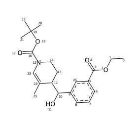 CCOC(=O)c1cccc(C(O)C2CCN(C(=O)OC(C)(C)C)C=C2C)c1